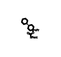 CCCCCC(=O)O[C@]1(CCC)CC[C@H](C2CCCCC2)CC1